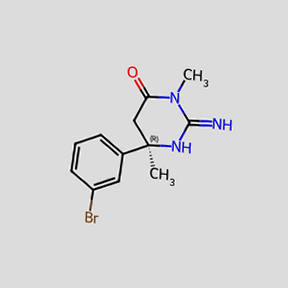 CN1C(=N)N[C@@](C)(c2cccc(Br)c2)CC1=O